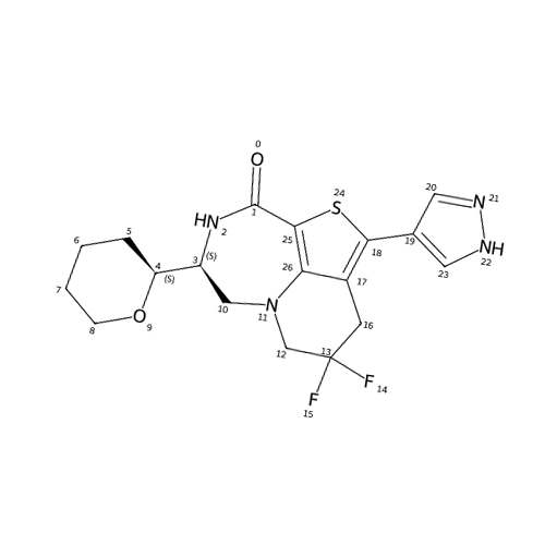 O=C1N[C@H]([C@@H]2CCCCO2)CN2CC(F)(F)Cc3c(-c4cn[nH]c4)sc1c32